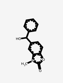 Cn1c(=O)oc2ccc(C(O)c3ccccc3)cc21